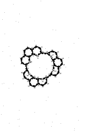 c1cc2ccc3nc2c2nc(ccc12)c1ccc2ccc4ccc(nc4c2n1)c1ccc2ccc4ccc3nc4c2n1